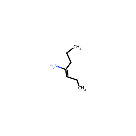 CC/C=C(/N)CCC